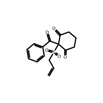 C=CCS(=O)(=O)C1(C(=O)c2ccccc2)C(=O)CCCC1=O